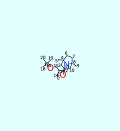 CO[C@H]1C[C@]2(C)CC[C@](C)(C1)N2C[C@@H](C)COC(C)(C)C